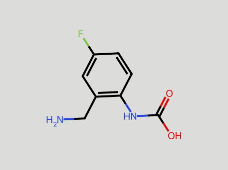 NCc1cc(F)ccc1NC(=O)O